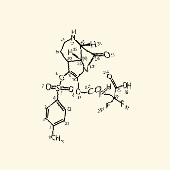 Cc1ccc(S(=O)(=O)OC2=C(OC(=O)O)N3C(=O)[C@H]4NCCC2[C@H]43)cc1.O=C(O)C(F)(F)F